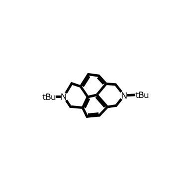 CC(C)(C)N1Cc2ccc3c4c(ccc(c24)C1)CN(C(C)(C)C)C3